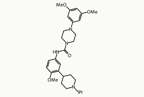 COc1cc(OC)cc(N2CCN(C(=O)Nc3ccc(OC)c(C4CCN(C(C)C)CC4)c3)CC2)c1